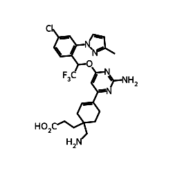 Cc1ccn(-c2cc(Cl)ccc2C(Oc2cc(C3=CCC(CN)(CCC(=O)O)CC3)nc(N)n2)C(F)(F)F)n1